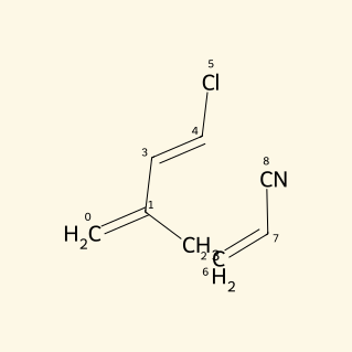 C=C(C)C=CCl.C=CC#N